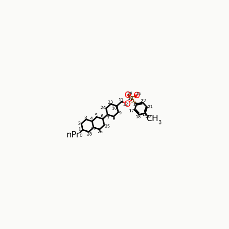 CCCC1CCC2CC(C3CCC(COS(=O)(=O)c4ccc(C)cc4)CC3)CCC2C1